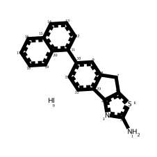 I.Nc1nc2c(s1)Cc1cc(-c3cccc4ccccc34)ccc1-2